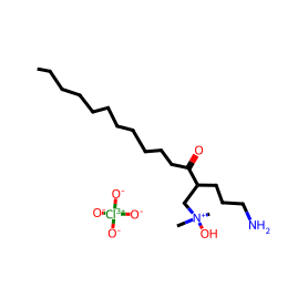 CCCCCCCCCCCC(=O)C(CCCN)C[N+](C)(C)O.[O-][Cl+3]([O-])([O-])[O-]